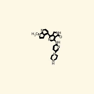 Cn1ccc2c(-c3ncc(Nc4ccc(N5CCNCC5)cn4)c4c3CNC4=O)ccnc21